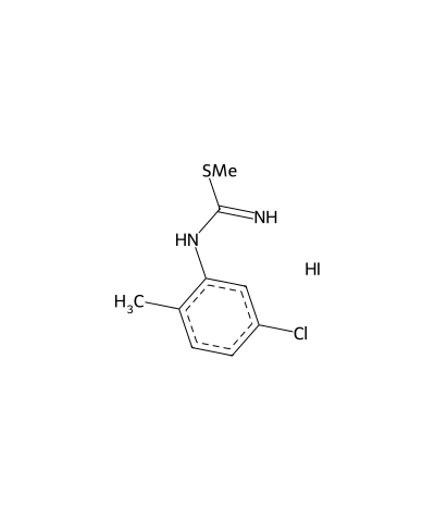 CSC(=N)Nc1cc(Cl)ccc1C.I